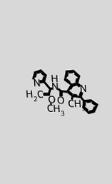 C=C(OC)C(NC(=O)c1c(C)c(-c2ccccc2)nc2ccccc12)c1ccccn1